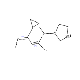 C/C=C(\C=C(\C)C(C)N1CCNC1)C1CC1